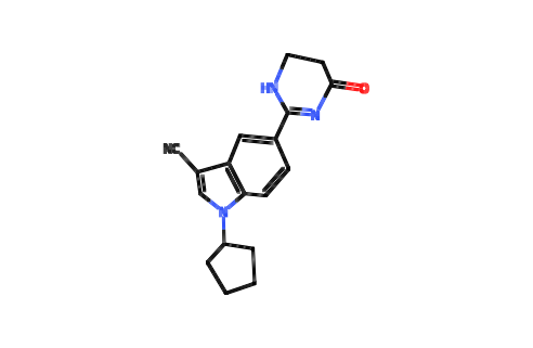 N#Cc1cn(C2CCCC2)c2ccc(C3=NC(=O)CCN3)cc12